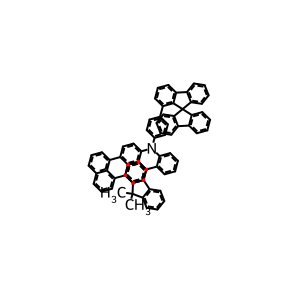 CC1(C)c2ccccc2-c2c(-c3ccccc3N(c3ccc(-c4cccc5c4C4(c6ccccc6-c6ccccc64)c4ccccc4-5)cc3)c3ccc(-c4cccc5cccc(-c6ccccc6)c45)cc3)cccc21